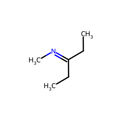 CCC(CC)=NC